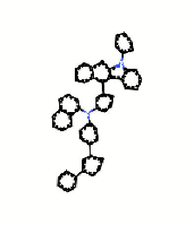 c1ccc(-c2cccc(-c3ccc(N(c4cccc(-c5c6ccccc6cc6c5c5ccccc5n6-c5ccccc5)c4)c4cccc5ccccc45)cc3)c2)cc1